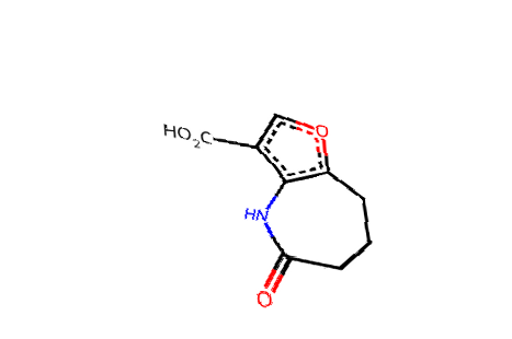 O=C1CCCc2occ(C(=O)O)c2N1